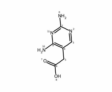 Nc1ncc(CC(=O)O)c(N)n1